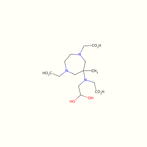 CC1(N(CC(=O)O)CC(O)O)CN(CC(=O)O)CCN(CC(=O)O)C1